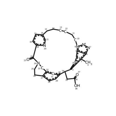 Cc1c2ccc3c1nnn3CCCCCCc1ccc(nc1)C(=O)N1CCc3ccc(cc3C1)C2CC(=O)O